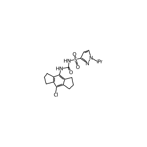 CC(C)n1ccc(S(=O)(=O)NC(=O)Nc2c3c(c(Cl)c4c2CCC4)CCC3)n1